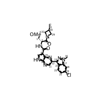 COC[C@@H](NC(=O)c1c[nH]c2ncc(-c3nn(C)c4cc(Cl)ccc34)nc12)C(=O)N1CC(F)C1